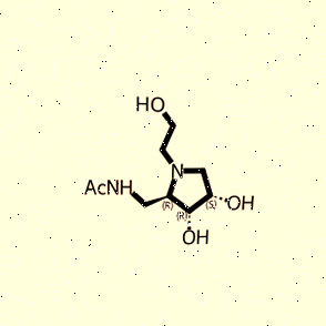 CC(=O)NC[C@@H]1[C@@H](O)[C@@H](O)CN1CCO